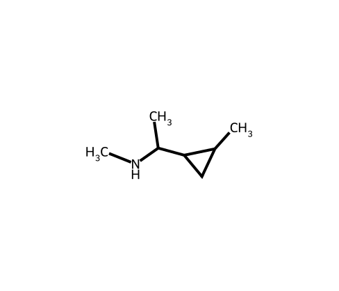 CNC(C)C1CC1C